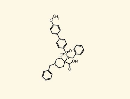 COc1ccc(-c2ccc(S(=O)(=O)N(Cc3ccccc3)C3(C(=O)O)CCN(Cc4ccccc4)CC3)cc2)cc1